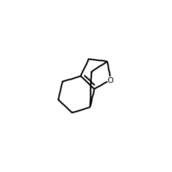 C1CC2=C3OC(C2)CC3C1